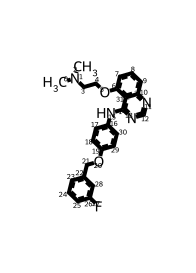 CN(C)CCOc1cccc2ncnc(Nc3ccc(OCc4cccc(F)c4)cc3)c12